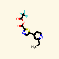 CCc1cc(-c2cnc(C(=O)OC(=O)C(F)(F)F)s2)ccn1